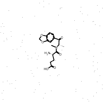 C[C@@H](C(=O)c1ccc2c(c1)OCO2)N(C)C(=O)[C@@H](N)CCC(=O)O